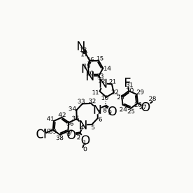 COC(=O)N1CCN(C(=O)[C@@H]2CN(c3ccc(C#N)nn3)C[C@@H]2c2ccc(OC)cc2F)CCCC1c1ccc(Cl)cc1